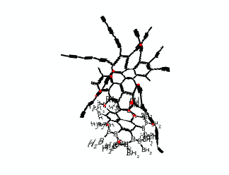 BBB(B)B(B(B)B)C1=C(B(B(B)B)B(B)B)C(B(BB)B(B)B)C(B(B)B(B)B)c2c1c(B)c(BB)c(B(B)B)c2C1=C(C)C(C)C(C)c2c1c(C)c1c(C)c(C)c(C)c(C)c1c2-c1c(C#CC#CC#CC#CC#C)c2c(C)c(C#C)c(C#CC)c(C#CC#C)c2c2c(C#CC#CC)c(C#CC#CC#C)c(C#CC#CC#CC)c(C#CC#CC#CC#C)c12